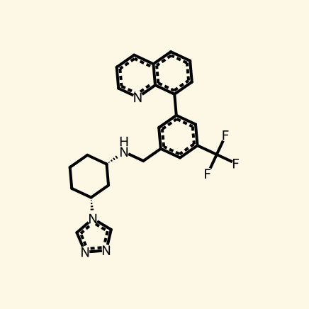 FC(F)(F)c1cc(CN[C@H]2CCC[C@@H](n3cnnc3)C2)cc(-c2cccc3cccnc23)c1